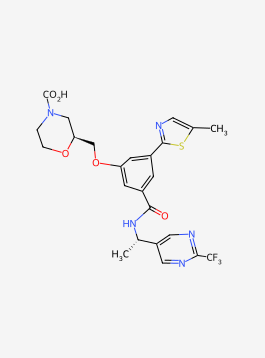 Cc1cnc(-c2cc(OC[C@@H]3CN(C(=O)O)CCO3)cc(C(=O)N[C@@H](C)c3cnc(C(F)(F)F)nc3)c2)s1